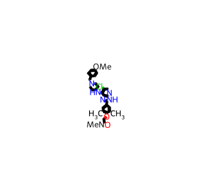 CNC(=O)COc1c(C)cc(-c2nc3c(NC4CCN(Cc5ccc(OC)cc5)CC4)c(Cl)cnc3[nH]2)cc1C